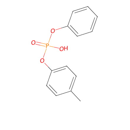 Cc1ccc(OP(=O)(O)Oc2ccccc2)cc1